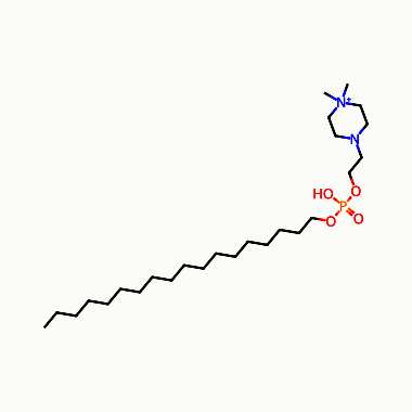 CCCCCCCCCCCCCCCCCCOP(=O)(O)OCCN1CC[N+](C)(C)CC1